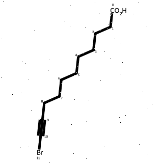 O=C(O)CCCCCCCCC#CBr